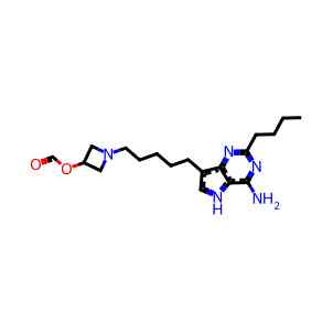 CCCCc1nc(N)c2[nH]cc(CCCCCN3CC(OC=O)C3)c2n1